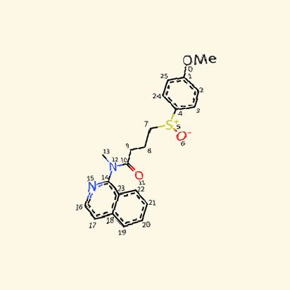 COc1ccc([S+]([O-])CCCC(=O)N(C)c2nccc3ccccc23)cc1